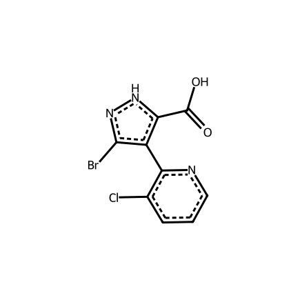 O=C(O)c1[nH]nc(Br)c1-c1ncccc1Cl